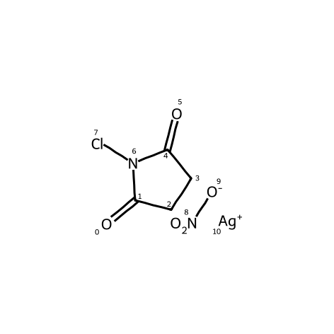 O=C1CCC(=O)N1Cl.O=[N+]([O-])[O-].[Ag+]